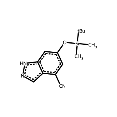 CC(C)(C)[Si](C)(C)Oc1cc(C#N)c2cn[nH]c2c1